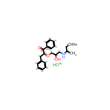 COCC(C)NCC(O)COC(Cc1ccccc1)C(=O)c1ccccc1.Cl